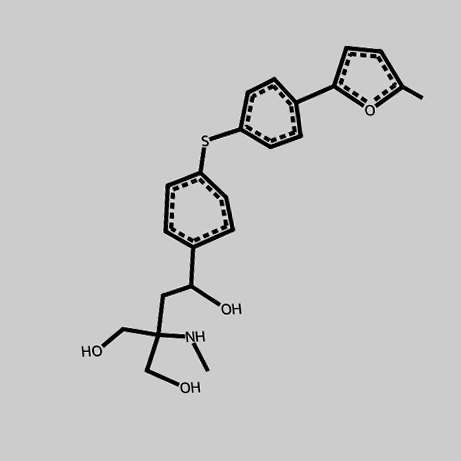 CNC(CO)(CO)CC(O)c1ccc(Sc2ccc(-c3ccc(C)o3)cc2)cc1